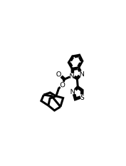 O=C(OCC12CC3CC(CC(C3)C1)C2)n1c(-c2cscn2)nc2ccccc21